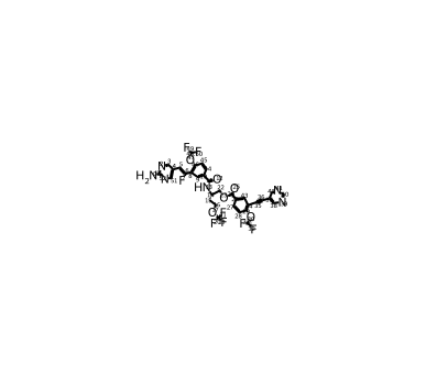 Nc1ncc(/C=C(\F)c2cc(C(=O)N[C@@H](CCOC(F)(F)F)COC(=O)c3ccc(OC(F)F)c(C#Cc4cncnc4)c3)ccc2OC(F)F)cn1